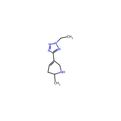 CCn1nnc(C2=CCC(C)NC2)n1